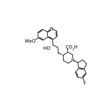 COc1ccc2nccc([C@@H](O)CC[C@@H]3CCN(C4CCc5cc(F)ccc54)C[C@@H]3C(=O)O)c2c1